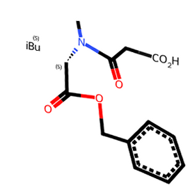 CC[C@H](C)[C@@H](C(=O)OCc1ccccc1)N(C)C(=O)CC(=O)O